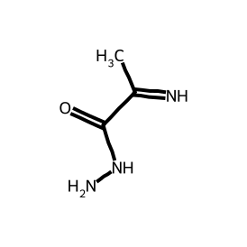 CC(=N)C(=O)NN